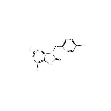 Nc1nc(S)nc2c1[nH]c(=O)n2Cc1ccc(Br)cc1